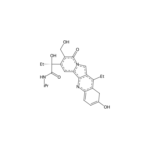 CCc1c2c(nc3c1cn1c(=O)c(CO)c([C@@](O)(CC)C(=O)NC(C)C)cc31)=CC=C(O)C2